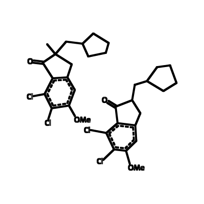 COc1cc2c(c(Cl)c1Cl)C(=O)C(C)(CC1CCCC1)C2.COc1cc2c(c(Cl)c1Cl)C(=O)C(CC1CCCC1)C2